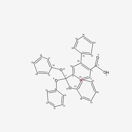 O=C(O)c1ccc(C(Oc2ccccc2)(Oc2ccccc2)Oc2ccccc2)cc1-c1ccccc1